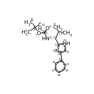 CC(C)[C@@H](NC(=O)OC(C)(C)C)c1nc(-c2ccccc2)c[nH]1